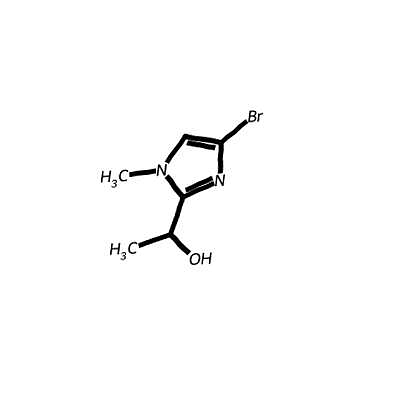 CC(O)c1nc(Br)cn1C